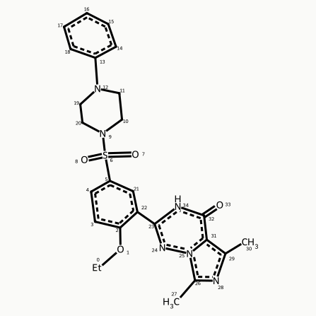 CCOc1ccc(S(=O)(=O)N2CCN(c3ccccc3)CC2)cc1-c1nn2c(C)nc(C)c2c(=O)[nH]1